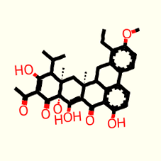 CCc1c(OC)ccc2c1CC1c3c-2ccc(O)c3C(=O)C2=C(O)[C@@]3(O)C(=O)C(C(C)=O)=C(O)C(C(C)C)[C@@]3(C)C[C@]21C